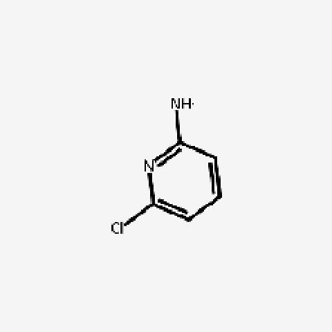 [NH]c1cccc(Cl)n1